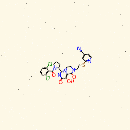 N#Cc1ccnc(SCCN2CCn3c(C4CCCN4C(=O)c4c(Cl)cccc4Cl)nc(=O)c(O)c3C2=O)c1